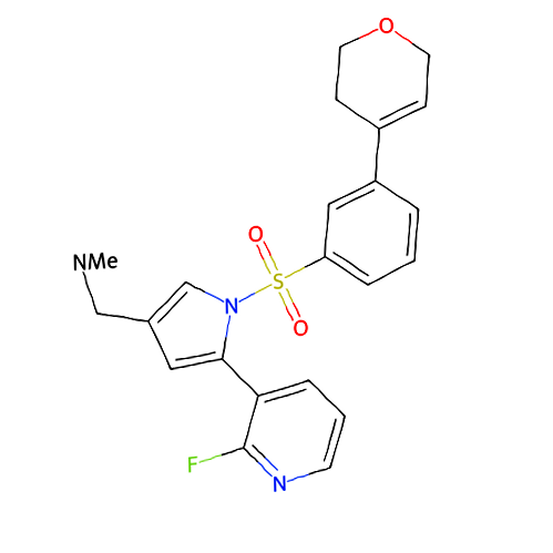 CNCc1cc(-c2cccnc2F)n(S(=O)(=O)c2cccc(C3=CCOCC3)c2)c1